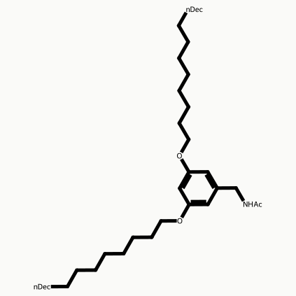 CCCCCCCCCCCCCCCCCCOc1cc(CNC(C)=O)cc(OCCCCCCCCCCCCCCCCCC)c1